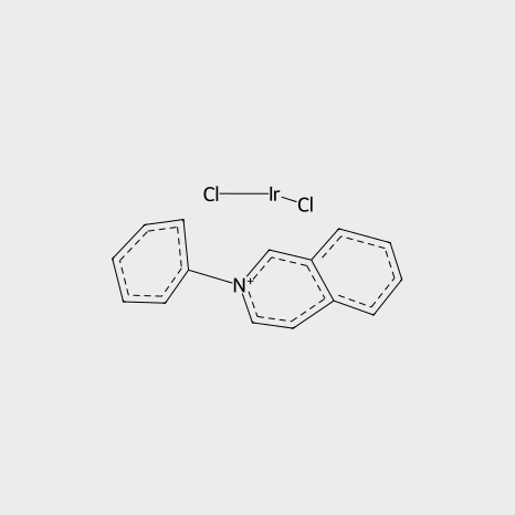 [Cl][Ir][Cl].c1ccc(-[n+]2ccc3ccccc3c2)cc1